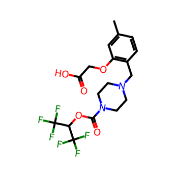 Cc1ccc(CN2CCN(C(=O)OC(C(F)(F)F)C(F)(F)F)CC2)c(OCC(=O)O)c1